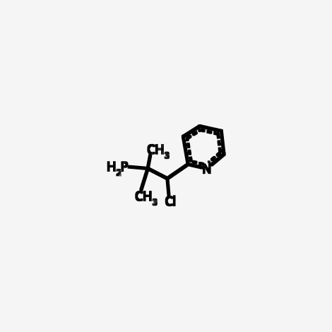 CC(C)(P)C(Cl)c1ccccn1